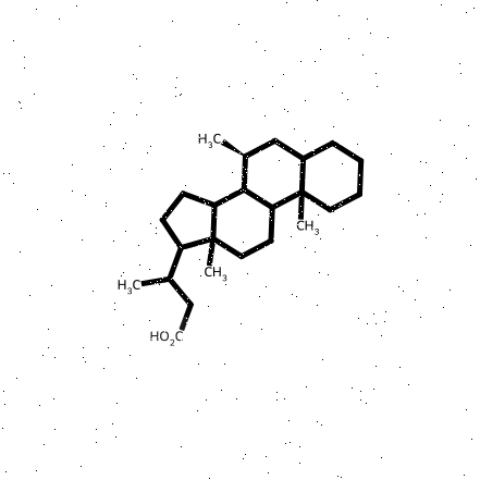 CC(CC(=O)O)C1CCC2C3C(CCC12C)C1(C)CCCCC1C[C@@H]3C